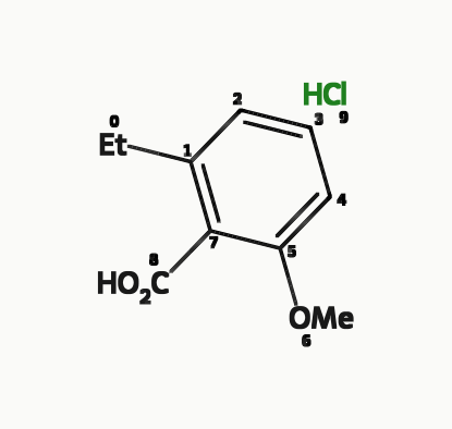 CCc1cccc(OC)c1C(=O)O.Cl